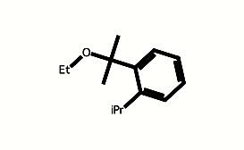 CCOC(C)(C)c1ccccc1C(C)C